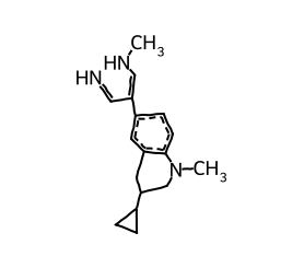 CN/C=C(\C=N)c1ccc2c(c1)CC(C1CC1)CN2C